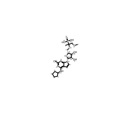 COCC(C)(OC[C@H]1O[C@@H](n2ccc3c(NC4CCCC4)nc(Cl)nc32)[C@H](O)[C@@H]1O)P(=O)(O)O